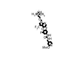 COc1cc(CNC(=O)Nc2cc(F)c(Oc3ccnc4c3c(C(F)(F)F)cn4COCC[Si](C)(C)C)c(F)c2)ccn1